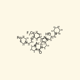 CC(=O)N1CCC[C@@H]1C(=O)N1CCc2c(c(-c3ccc(C(F)(F)F)c(SCCN4CCC(F)CC4)c3)nn2CC(O)CN2CCCCC2)C1